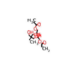 C=CC(=O)OCCOCCOC(=O)C=C.CCC(CO)(CO)CO